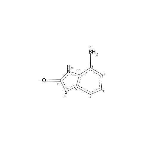 Bc1cccc2sc(=O)[nH]c12